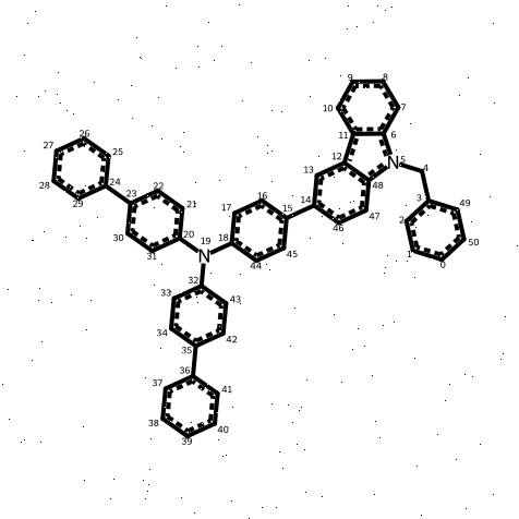 c1ccc(Cn2c3ccccc3c3cc(-c4ccc(N(c5ccc(-c6ccccc6)cc5)c5ccc(-c6ccccc6)cc5)cc4)ccc32)cc1